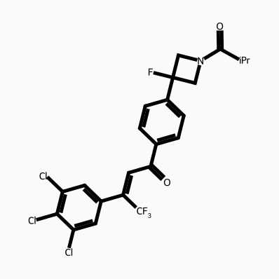 CC(C)C(=O)N1CC(F)(c2ccc(C(=O)/C=C(/c3cc(Cl)c(Cl)c(Cl)c3)C(F)(F)F)cc2)C1